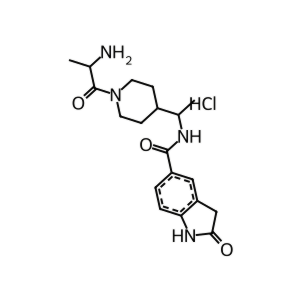 CC(N)C(=O)N1CCC(C(C)NC(=O)c2ccc3c(c2)CC(=O)N3)CC1.Cl